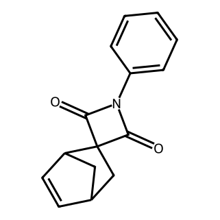 O=C1N(c2ccccc2)C(=O)C12CC1C=CC2C1